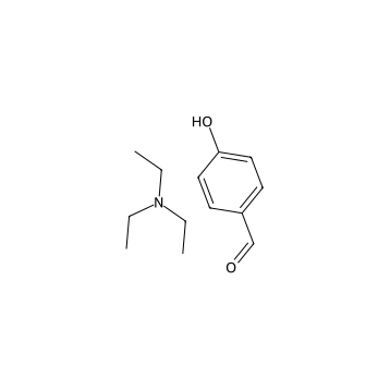 CCN(CC)CC.O=Cc1ccc(O)cc1